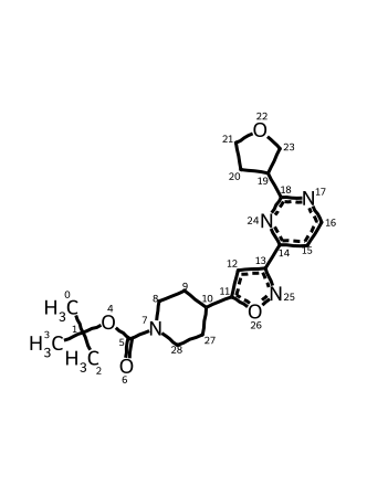 CC(C)(C)OC(=O)N1CCC(c2cc(-c3ccnc(C4CCOC4)n3)no2)CC1